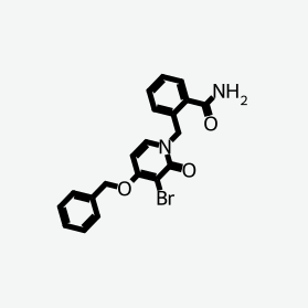 NC(=O)c1ccccc1Cn1ccc(OCc2ccccc2)c(Br)c1=O